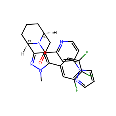 Cn1nc2c(c1-c1cc(F)c(F)c(F)c1)C[C@@H]1CCC[C@H]2N1C(=O)c1cc(-n2cccn2)ccn1